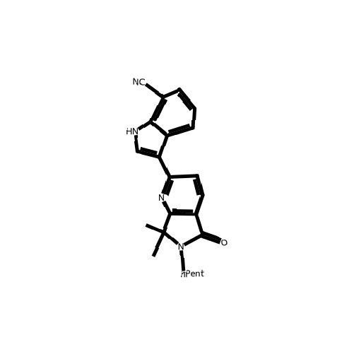 CCCCCN1C(=O)c2ccc(-c3c[nH]c4c(C#N)cccc34)nc2C1(C)C